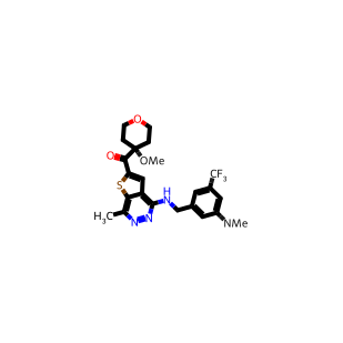 CNc1cc(CNc2nnc(C)c3sc(C(=O)C4(OC)CCOCC4)cc23)cc(C(F)(F)F)c1